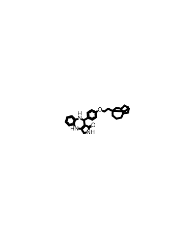 O=C1NCC2=C1C(c1ccc(OCCC34CCCC5CC(CC5C3)C4)cc1)Nc1ccccc1N2